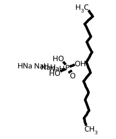 CCCCCCCCCCCCCC.O=P(O)(O)O.[NaH].[NaH].[NaH].[NaH]